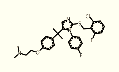 CN(C)CCOc1ccc(C(C)(C)c2cnc(SCc3c(F)cccc3Cl)n2-c2ccc(F)cc2)cc1